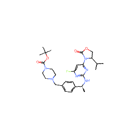 CC(C)C1COC(=O)N1c1cc(F)nc(N[C@@H](C)c2ccc(CN3CCN(C(=O)OC(C)(C)C)CC3)cc2)n1